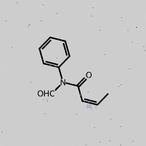 C/C=C\C(=O)N(C=O)c1ccccc1